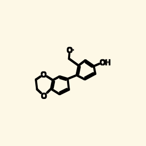 [O]Cc1cc(O)ccc1-c1ccc2c(c1)OCCO2